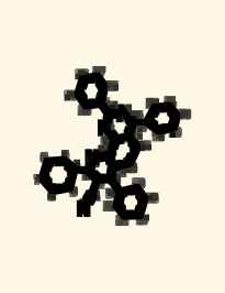 N#Cc1c(-c2ccccc2)nc2c(ccc3c(-c4ccccc4)nc(-c4ccccc4)nc32)c1-c1ccccc1